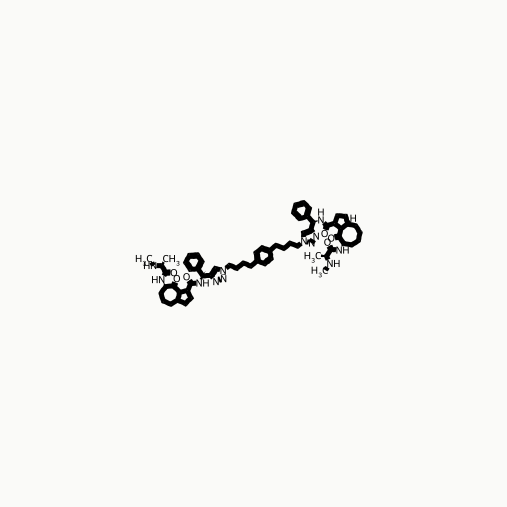 CN[C@@H](C)C(=O)N[C@H]1CCCC2CCC(C(=O)N[C@@H](c3ccccc3)c3cn(CCCCc4ccc(CCCCn5cc([C@@H](NC(=O)C6CC[C@@H]7CCCC[C@H](NC(=O)[C@H](C)NC)C(=O)C67)c6ccccc6)nn5)cc4)nn3)C2C1=O